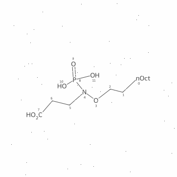 CCCCCCCCCCON(CCC(=O)O)P(=O)(O)O